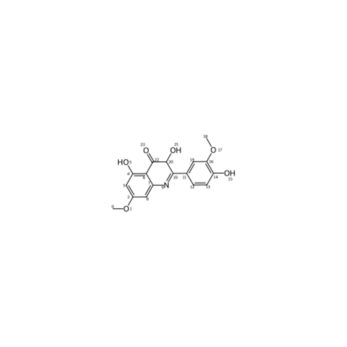 COc1cc(O)c2c(c1)N=C(c1ccc(O)c(OC)c1)C(O)C2=O